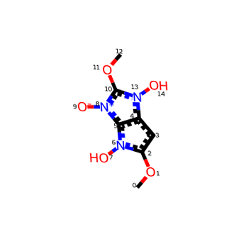 COc1cc2c(n1O)[n+]([O-])c(OC)n2O